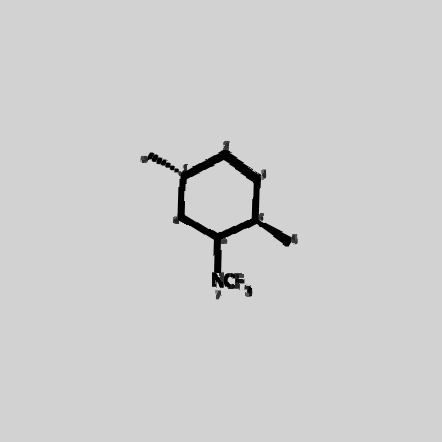 C[C@@H]1CC[C@@H](C)C(NC(F)(F)F)C1